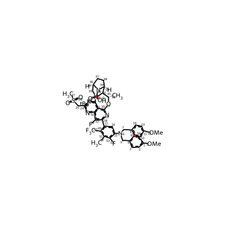 COc1ccc(CN(Cc2ccc(OC)cc2)c2cc(-c3nc4c5c(nc(CS(C)(=O)=O)nc5c3F)N3C[C@H]5CC[C@@H]([C@H]3[C@H](C)O4)N5C(=O)OC(C)(C)C)c(C(F)(F)F)c(C)c2F)cc1